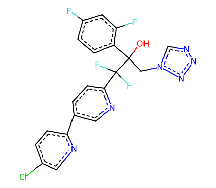 OC(Cn1cnnn1)(c1ccc(F)cc1F)C(F)(F)c1ccc(-c2ccc(Cl)cn2)cn1